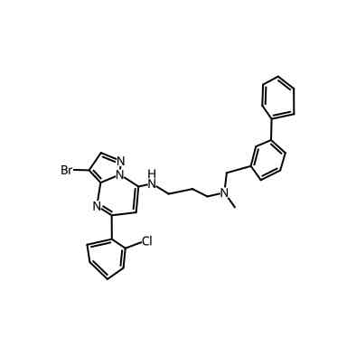 CN(CCCNc1cc(-c2ccccc2Cl)nc2c(Br)cnn12)Cc1cccc(-c2ccccc2)c1